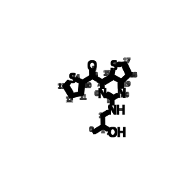 CC(O)CNc1nc(C(=O)c2cccs2)c2sccc2n1